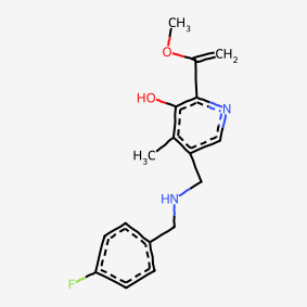 C=C(OC)c1ncc(CNCc2ccc(F)cc2)c(C)c1O